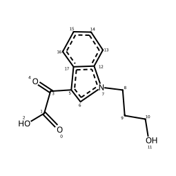 O=C(O)C(=O)c1cn(CCCO)c2ccccc12